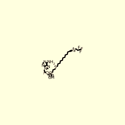 C[C@H](Cn1cnc2c(N)ncnc21)OCP(=O)(O)OCCCSCCCCCCCCCCC#C[Si](C)(C)CCC(F)(F)F